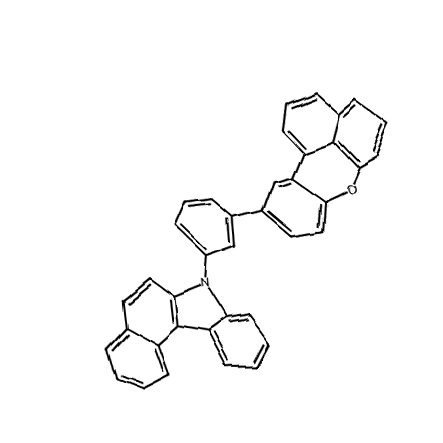 c1cc(-c2ccc3c(c2)-c2cccc4cccc(c24)O3)cc(-n2c3ccccc3c3c4ccccc4ccc32)c1